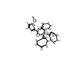 COn1cccc1C(=N)[O][Sn]([CH]1CCCCC1)([CH]1CCCCC1)[CH]1CCCCC1